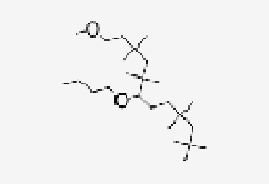 CCCCOC(CCC(C)(C)CC(C)(C)C)C(C)(C)CC(C)(C)CCOC